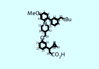 COc1ccc(-c2cccc(CC(C)(C)C)c2)c(N2CCC(COc3cccc(C(CC(=O)O)C4CC4)c3)CC2)c1